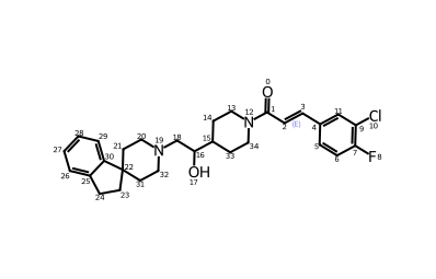 O=C(/C=C/c1ccc(F)c(Cl)c1)N1CCC(C(O)CN2CCC3(CCc4ccccc43)CC2)CC1